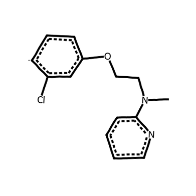 CN(CCOc1cc[c]c(Cl)c1)c1ccccn1